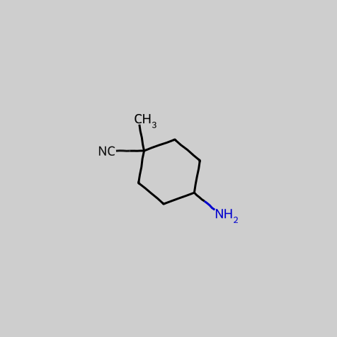 CC1(C#N)CCC(N)CC1